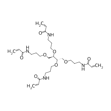 C=CC(=O)NCCCOC[C@H](OCCCNC(=O)C=C)[C@@H](COCCCNC(=O)C=C)OCCCNC(=O)C=C